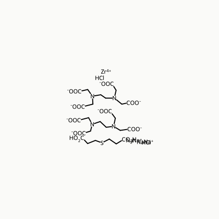 Cl.Cl.O=C(O)CCSCCC(=O)O.O=C([O-])CN(CCN(CC(=O)[O-])CC(=O)[O-])CC(=O)[O-].O=C([O-])CN(CCN(CC(=O)[O-])CC(=O)[O-])CC(=O)[O-].[Na+].[Na+].[Na+].[Na+].[Zr+4]